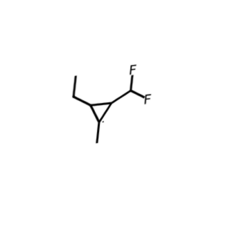 CCC1[C](C)C1C(F)F